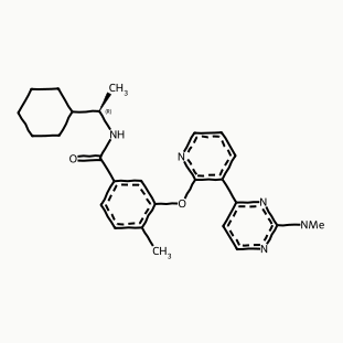 CNc1nccc(-c2cccnc2Oc2cc(C(=O)N[C@H](C)C3CCCCC3)ccc2C)n1